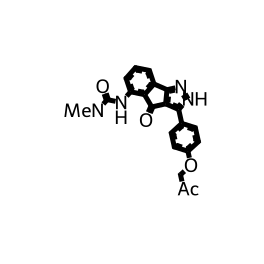 CNC(=O)Nc1cccc2c1C(=O)c1c-2n[nH]c1-c1ccc(OCC(C)=O)cc1